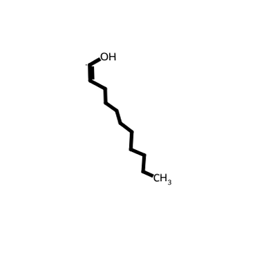 CCCCCCCCC/C=[C]\O